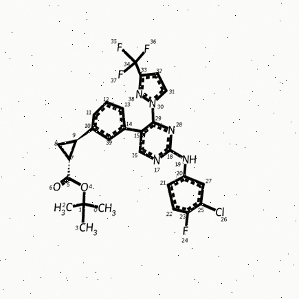 CC(C)(C)OC(=O)[C@@H]1C[C@H]1c1cccc(-c2cnc(Nc3ccc(F)c(Cl)c3)nc2-n2ccc(C(F)(F)F)n2)c1